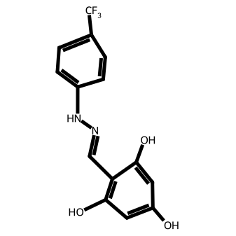 Oc1cc(O)c(C=NNc2ccc(C(F)(F)F)cc2)c(O)c1